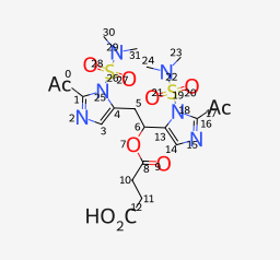 CC(=O)c1ncc(CC(OC(=O)CCC(=O)O)c2cnc(C(C)=O)n2S(=O)(=O)N(C)C)n1S(=O)(=O)N(C)C